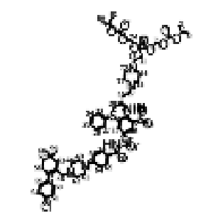 CC(C)OC(=O)OCOP(=O)(CCN1CCN(CC[C@H](CSc2ccccc2)Nc2ccc([S+]([O-])NC(=O)c3ccc(N4CCN(CC5=C(c6ccc(Cl)cc6)CCC(C)(C)C5)CC4)cc3)cc2[SH](=O)=O)CC1)OCOC(=O)OC(C)C